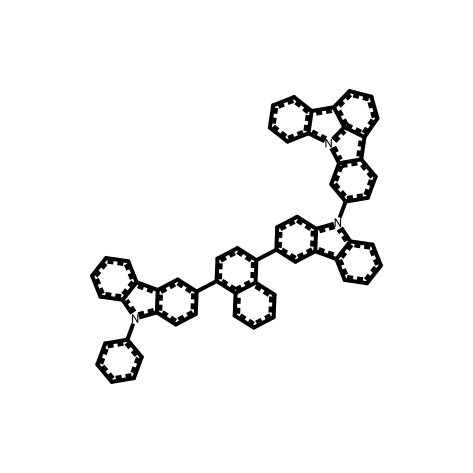 c1ccc(-n2c3ccccc3c3cc(-c4ccc(-c5ccc6c(c5)c5ccccc5n6-c5ccc6c7cccc8c9ccccc9n(c6c5)c87)c5ccccc45)ccc32)cc1